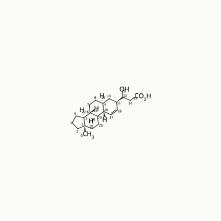 C[C@@]12CCC[C@H]1[C@@H]1CC[C@H]3C[C@@H](C(O)CC(=O)O)C=C[C@@H]3[C@H]1CC2